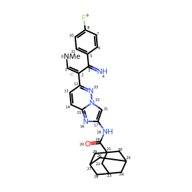 CN/C=C(\C(=N)c1ccc(F)cc1)c1ccc2nc(NC(=O)C34CC5CC(CC(C5)C3)C4)cn2n1